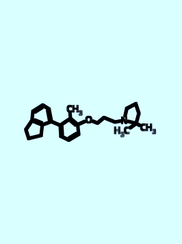 Cc1c(OCCCN2CCCC2(C)C)cccc1-c1cccc2c1CCC2